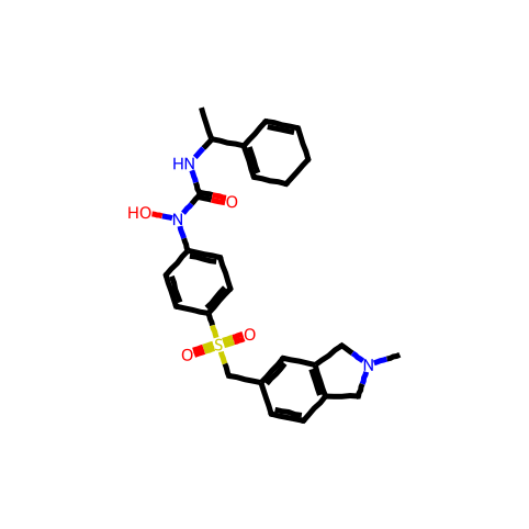 CC(NC(=O)N(O)c1ccc(S(=O)(=O)Cc2ccc3c(c2)CN(C)C3)cc1)C1=CCCC=C1